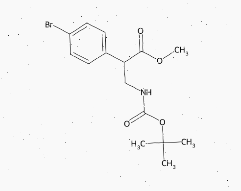 COC(=O)C(CNC(=O)OC(C)(C)C)c1ccc(Br)cc1